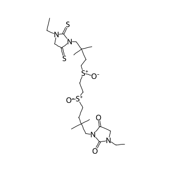 CCN1CC(=O)N(CC(C)(C)CC[S+]([O-])CC[S+]([O-])CCC(C)(C)CN2C(=S)CN(CC)C2=S)C1=O